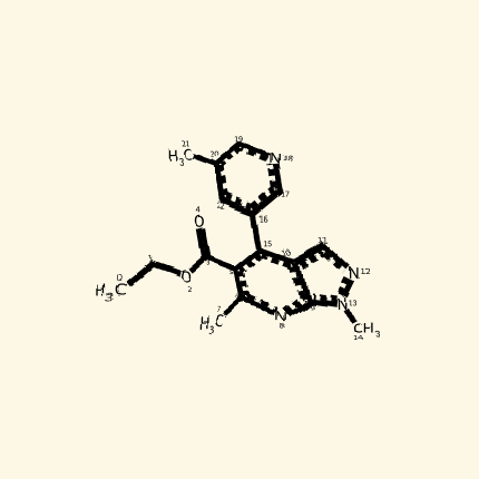 CCOC(=O)c1c(C)nc2c(cnn2C)c1-c1cncc(C)c1